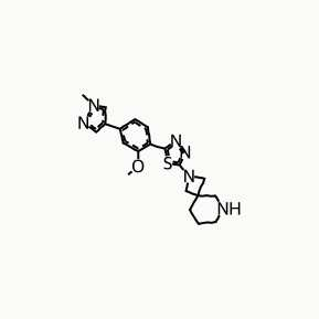 COc1cc(-c2cnn(C)c2)ccc1-c1nnc(N2CC3(CCCNC3)C2)s1